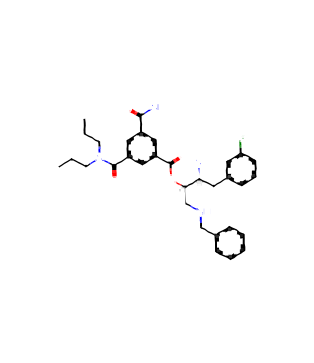 CCCN(CCC)C(=O)c1cc(C(N)=O)cc(C(=O)O[C@H](CNCc2ccccc2)[C@@H](N)Cc2cccc(Br)c2)c1